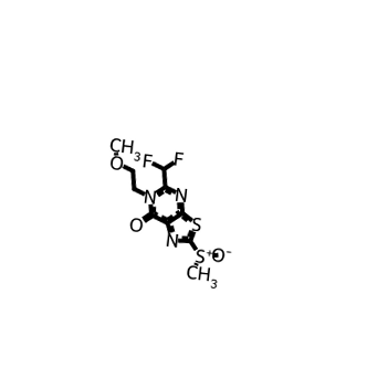 COCCn1c(C(F)F)nc2sc([S+](C)[O-])nc2c1=O